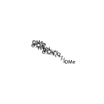 COCCCCCOC1CCN(c2ccc(C(=O)NNC(=O)c3ccc(C(=O)OC)cc3)cc2)CC1